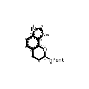 CCCCC[C@H]1CCc2ccc3[nH]cnc3c2O1